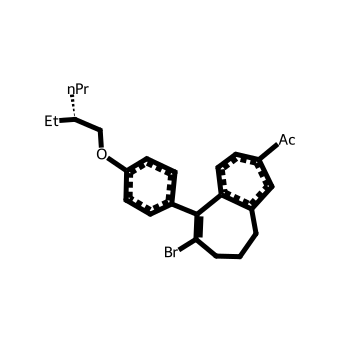 CCC[C@@H](CC)COc1ccc(C2=C(Br)CCCc3cc(C(C)=O)ccc32)cc1